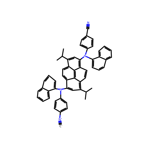 [C-]#[N+]c1ccc(N(c2cccc3ccccc23)c2cc(C(C)C)c3ccc4c(N(c5ccc(C#N)cc5)c5cccc6ccccc56)cc(C(C)C)c5ccc2c3c54)cc1